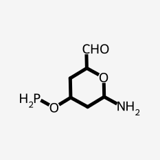 NC1CC(OP)CC(C=O)O1